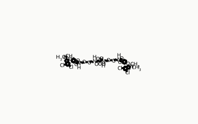 CN(C)[C@@H]1Cc2c(Cl)cc(Cl)cc2[C@@H]1Oc1ccc(S(=O)(=O)NCCOCCOCCNC(=O)[C@H](O)[C@@H](O)C(=O)NCCOCCOCCNS(=O)(=O)c2ccc(O[C@H]3c4cc(Cl)cc(Cl)c4C[C@H]3N(C)C)cc2)cc1